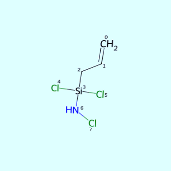 C=CC[Si](Cl)(Cl)NCl